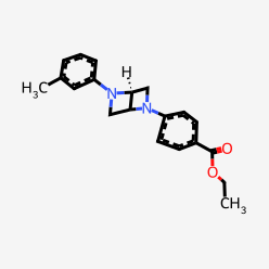 CCOC(=O)c1ccc(N2C[C@H]3C2CN3c2cccc(C)c2)cc1